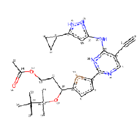 C#Cc1cnc(-c2ccc(C(CCOC(C)=O)O[Si](C)(C)C(C)(C)C)s2)nc1Nc1cc(C2CC2)[nH]n1